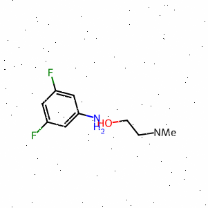 CNCCO.Nc1cc(F)cc(F)c1